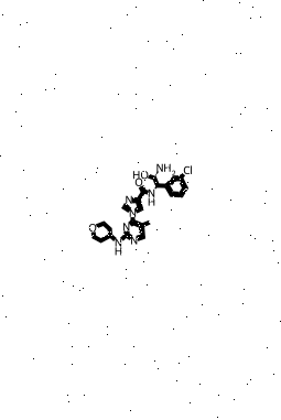 Cc1cnc(NC2CCOCC2)nc1-n1cnc(C(=O)N[C@@H](c2cccc(Cl)c2)[C@@H](N)O)c1